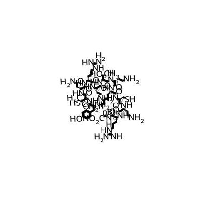 CCCC[C@H](NC(=O)[C@H](CCCNC(=N)N)NC(=O)[C@H](CCN)NC(=O)[C@H](CS)NC(=O)[C@H](CCCCN)NC(=O)[C@@H](CCN)NC(=O)[C@@H](NC(=O)[C@H](CCN)NC(=O)[C@H](CCCNC(=N)N)NC(=O)[C@H](CC(N)=O)NC(=O)[C@@H](NC(=O)[C@@H](N)Cc1ccc(O)cc1)C(C)(C)S)[C@@H](C)O)C(=O)O